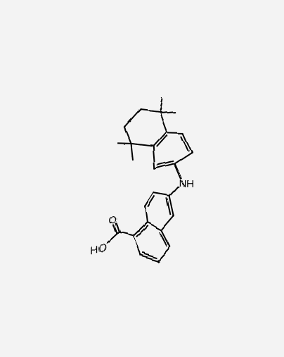 CC1(C)CCC(C)(C)c2cc(Nc3ccc4c(C(=O)O)cccc4c3)ccc21